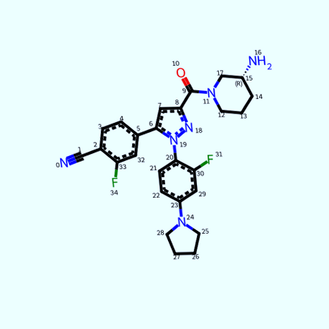 N#Cc1ccc(-c2cc(C(=O)N3CCC[C@@H](N)C3)nn2-c2ccc(N3CCCC3)cc2F)cc1F